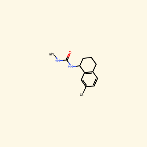 CCCNC(=O)NC1CCCc2ccc(CC)cc21